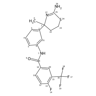 CC1(c2cccc(NC(=O)c3ccc(F)c(C(F)(F)F)c3)c2)CCSC(N)=N1